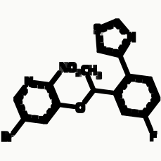 CC(Oc1cc(Br)cnc1[N+](=O)[O-])c1cc(F)ccc1-c1cscn1